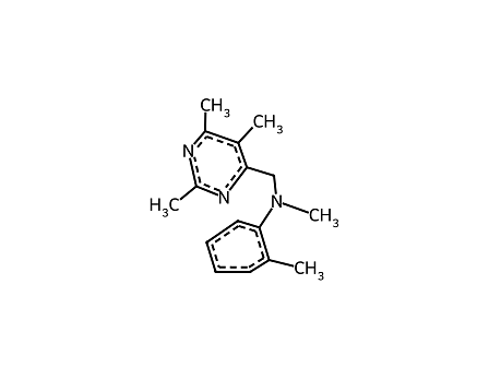 Cc1nc(C)c(C)c(CN(C)c2ccccc2C)n1